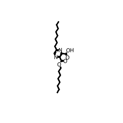 CCCCCCCCOC(=O)c1ncc(CCCCCCCC)nc1C(=O)O